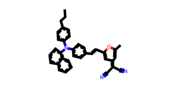 CCCc1ccc(N(c2ccc(/C=C/C3=CC(=C(C#N)C#N)C=C(C)O3)cc2)c2cccc3ccccc23)cc1